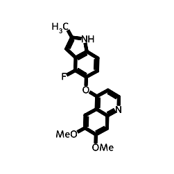 COc1cc2nccc(Oc3ccc4[nH]c(C)cc4c3F)c2cc1OC